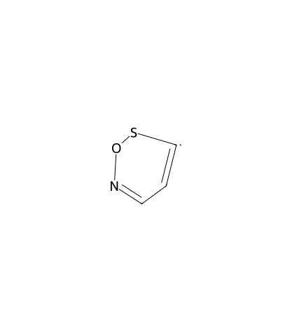 [C]1=CC=NOS1